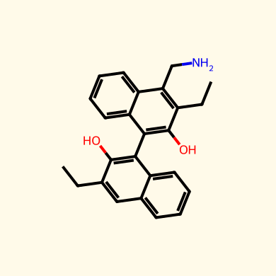 CCc1cc2ccccc2c(-c2c(O)c(CC)c(CN)c3ccccc23)c1O